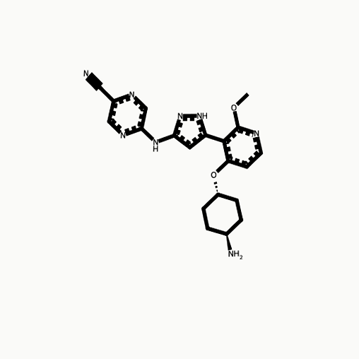 COc1nccc(O[C@H]2CC[C@H](N)CC2)c1-c1cc(Nc2cnc(C#N)cn2)n[nH]1